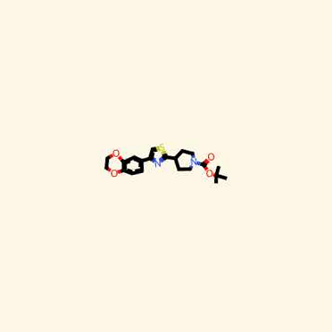 CC(C)(C)OC(=O)N1CCC(c2nc(-c3ccc4c(c3)OCCO4)cs2)CC1